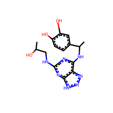 CC(O)CNc1nc(NC(C)c2ccc(O)c(O)c2)c2nn[nH]c2n1